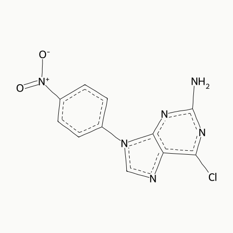 Nc1nc(Cl)c2ncn(-c3ccc([N+](=O)[O-])cc3)c2n1